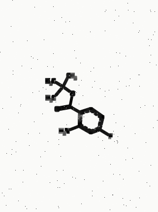 CC(C)(C)OC(=O)c1ccc(F)cc1N